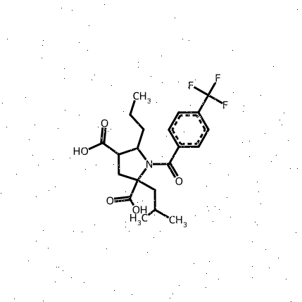 CCCC1C(C(=O)O)CC(CC(C)C)(C(=O)O)N1C(=O)c1ccc(C(F)(F)F)cc1